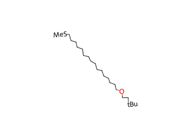 CSCCCCCCCCCCCCCCCCOCCC(C)(C)C